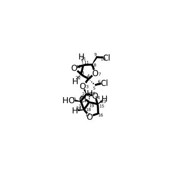 O[C@H]1[C@@H](O[C@]2(CCl)O[C@H](CCl)[C@@H]3O[C@@H]32)O[C@@H]2CO[C@H]1[C@H]2Cl